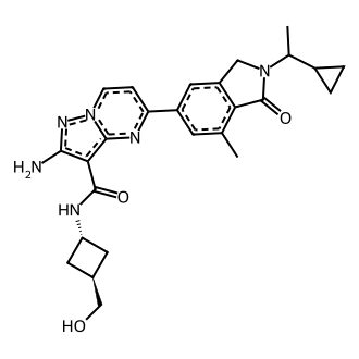 Cc1cc(-c2ccn3nc(N)c(C(=O)N[C@H]4C[C@H](CO)C4)c3n2)cc2c1C(=O)N(C(C)C1CC1)C2